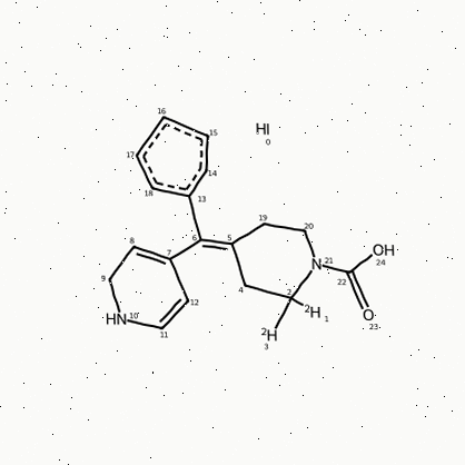 I.[2H]C1([2H])CC(=C(C2=CCNC=C2)c2ccccc2)CCN1C(=O)O